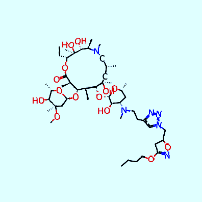 CCCCOC1=NOC(Cn2cc(CCN(C)[C@H]3C[C@@H](C)O[C@@H](O[C@@H]4[C@@H](C)[C@H](O[C@H]5C[C@@](C)(OC)[C@@H](O)[C@H](C)O5)[C@@H](C)C(=O)O[C@H](CC)[C@@](C)(O)[C@H](O)[C@@H](C)N(C)C[C@H](C)C[C@@]4(C)O)[C@@H]3O)nn2)C1